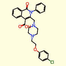 O=C(O)c1c(CN2CCN(CCOc3ccc(Cl)cc3)CC2)n(-c2ccccc2)c(=O)c2ccccc12